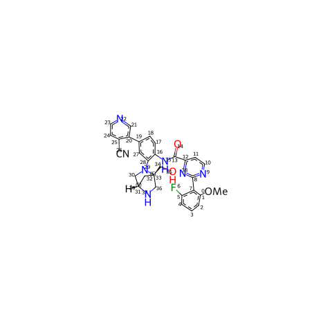 COc1cccc(F)c1-c1nccc(C(=O)Nc2ccc(-c3cnccc3C#N)cc2N2C[C@@H]3C[C@@]2(CO)CN3)n1